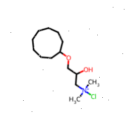 C[N+](C)(Cl)CC(O)COC1CCCCCCCC1